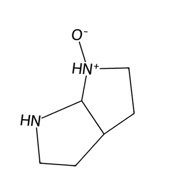 [O-][NH+]1CCC2CCNC21